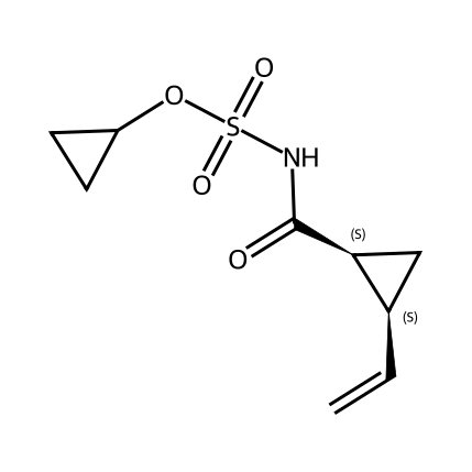 C=C[C@@H]1C[C@@H]1C(=O)NS(=O)(=O)OC1CC1